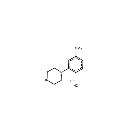 COc1cccc(N2CCNCC2)c1.Cl.Cl